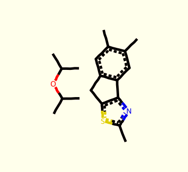 CC(C)OC(C)C.Cc1nc2c(s1)Cc1cc(C)c(C)cc1-2